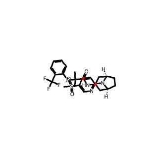 CC(C)(Oc1ccccc1C(F)(F)F)C(=O)N[C@H]1C[C@H]2CC[C@@H](C1)N2c1ccc(S(C)(=O)=O)cn1